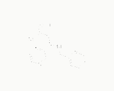 CCOC(=O)C(C#N)CN(NCc1ccccc1)c1cccnc1